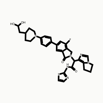 O=C(Nc1nccs1)C(c1ncn2c1CCC2)N1Cc2c(F)cc(-c3ccc(N4CCC(CC(O)O)CC4)cc3)cc2C1=O